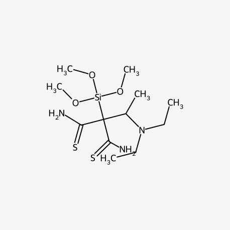 CCN(CC)C(C)C(C(N)=S)(C(N)=S)[Si](OC)(OC)OC